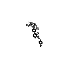 CCc1cc(-n2ccnc(OCCc3ccc(F)cc3)c2=O)ccc1OCC(C)(C)O